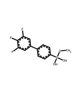 CO[Si](O)(O)c1ccc(-c2cc(F)c(F)c(F)c2)cc1